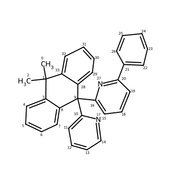 CC1(C)c2ccccc2C(c2ccccn2)(c2cccc(-c3ccccc3)n2)c2ccccc21